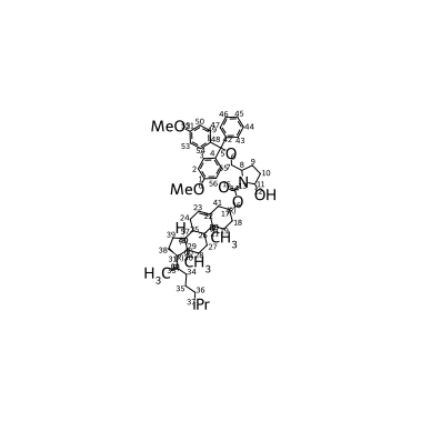 COc1ccc(C(OCC2CCC(O)N2C(=O)O[C@@H]2CC[C@@]3(C)C(=CCC4C3CC[C@]3(C)[C@@H]([C@H](C)CCCC(C)C)CC[C@@H]43)C2)(c2ccccc2)c2ccc(OC)cc2)cc1